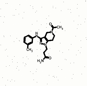 CC(=O)N1CCc2c(c(Nc3cccc(C)c3)nn2CCC(N)=O)C1